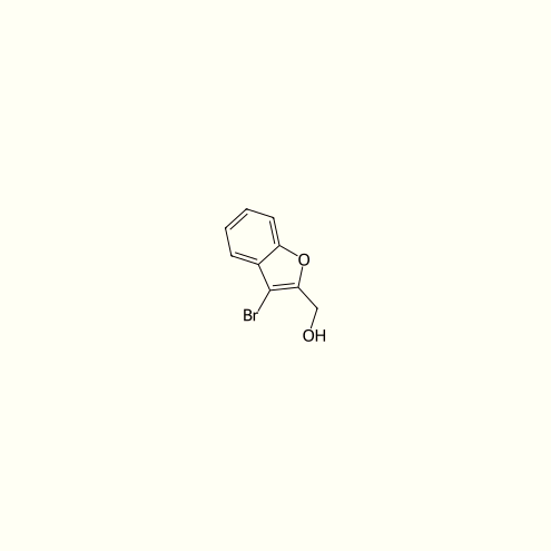 OCc1oc2ccccc2c1Br